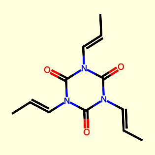 CC=Cn1c(=O)n(C=CC)c(=O)n(C=CC)c1=O